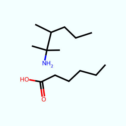 CCCC(C)C(C)(C)N.CCCCCC(=O)O